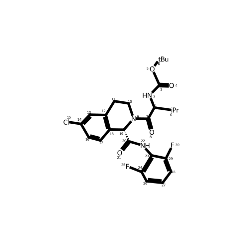 CC(C)C(NC(=O)OC(C)(C)C)C(=O)N1CCc2cc(Cl)ccc2[C@H]1C(=O)Nc1c(F)cccc1F